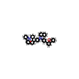 c1ccc(-c2ccccc2-n2c3ccccc3c3ccccc32)c(-c2ccc(N(c3ccc(-c4cccc5c4oc4ccccc45)cc3)c3cccc4ccccc34)cc2)c1